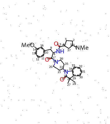 CN[C@@H]1CC[C@H](C(=O)NC(Cc2cccc(OC)c2)C(=O)N2CCC(N3C(=O)C(C)(C)c4ccccc43)CC2)C1